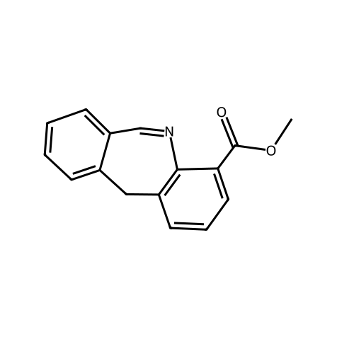 COC(=O)c1cccc2c1N=Cc1ccccc1C2